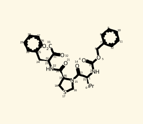 CC(C)[C@H](NC(=O)OCc1ccccc1)C(=O)N1CSC[C@H]1C(=O)N[C@@H](Cc1ccccc1)C(=O)C(=O)O